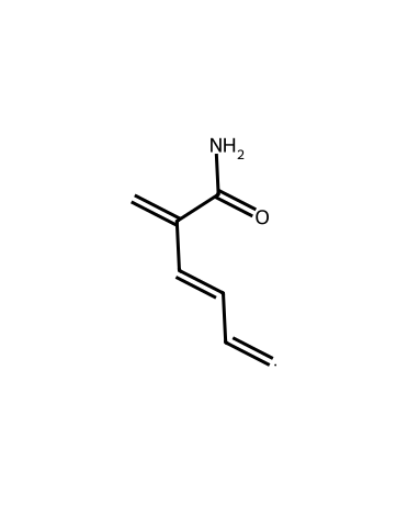 [CH]=CC=CC(=C)C(N)=O